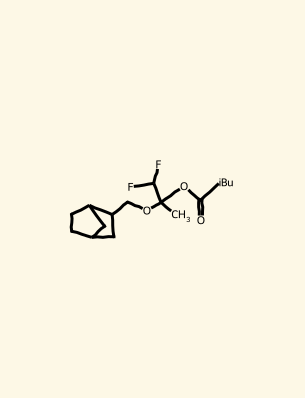 CCC(C)C(=O)OC(C)(OCC1CC2CCC1C2)C(F)F